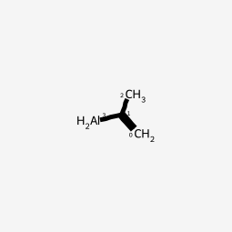 C=[C](C)[AlH2]